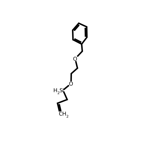 C=CC[SiH2]OCCOCc1ccccc1